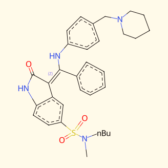 CCCCN(C)S(=O)(=O)c1ccc2c(c1)/C(=C(/Nc1ccc(CN3CCCCC3)cc1)c1ccccc1)C(=O)N2